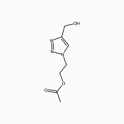 CC(=O)OCCn1cc(CO)nn1